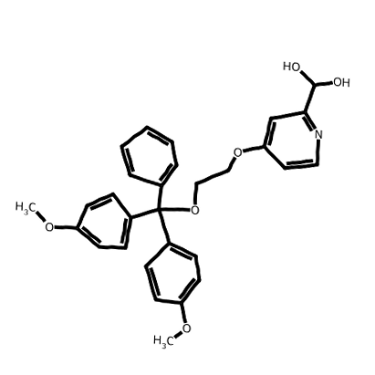 COc1ccc(C(OCCOc2ccnc(C(O)O)c2)(c2ccccc2)c2ccc(OC)cc2)cc1